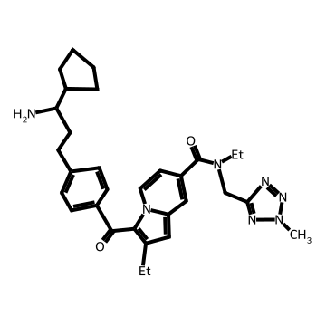 CCc1cc2cc(C(=O)N(CC)Cc3nnn(C)n3)ccn2c1C(=O)c1ccc(CCC(N)C2CCCC2)cc1